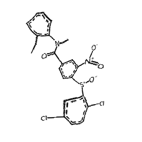 Cc1ccccc1N(C)C(=O)c1ccc([S+]([O-])c2cc(Cl)ccc2Cl)c([N+](=O)[O-])c1